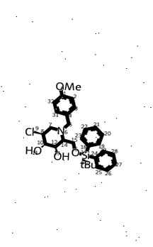 COc1ccc(CN2C[C@H](Cl)[C@@H](O)[C@H](O)C2CO[Si](c2ccccc2)(c2ccccc2)C(C)(C)C)cc1